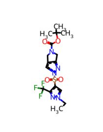 CCn1cc(S(=O)(=O)n2cc3c(n2)CN(C(=O)OC(C)(C)C)C3)c(C(F)(F)F)n1